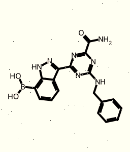 NC(=O)c1nc(NCc2ccccc2)nc(-c2n[nH]c3c(B(O)O)cccc23)n1